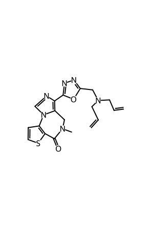 C=CCN(CC=C)Cc1nnc(-c2ncn3c2CN(C)C(=O)c2sccc2-3)o1